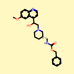 COc1ccc2nccc(C(O)CN3CCC[C@@H](CNC(=O)OCc4ccccc4)C3)c2c1